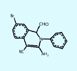 N#CC1=C(N)N(c2ccccc2)C(C=O)c2cc(Br)ccc21